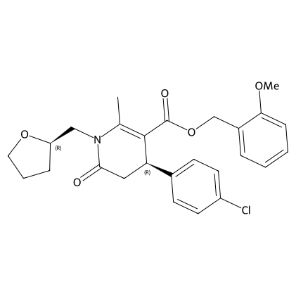 COc1ccccc1COC(=O)C1=C(C)N(C[C@H]2CCCO2)C(=O)C[C@@H]1c1ccc(Cl)cc1